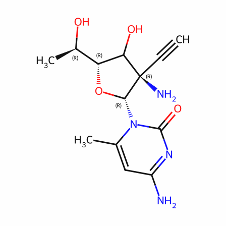 C#C[C@@]1(N)C(O)[C@@H]([C@@H](C)O)O[C@H]1n1c(C)cc(N)nc1=O